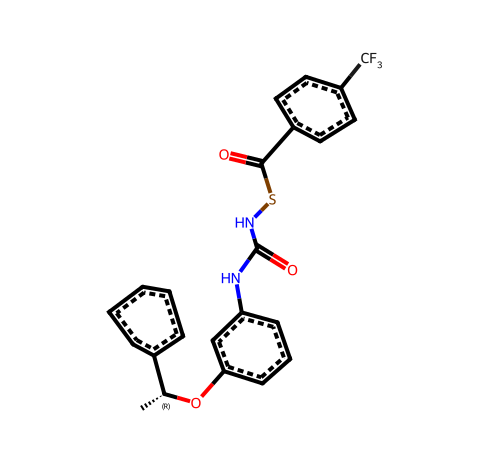 C[C@@H](Oc1cccc(NC(=O)NSC(=O)c2ccc(C(F)(F)F)cc2)c1)c1ccccc1